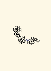 Cc1ccc(Oc2ccc(Nc3ncnc4ccc(/C=C/CNC(=O)C(C)(C)O)cc34)cc2C)cn1